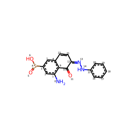 Nc1cc(S(=O)O)cc2c1C(=O)/C(=N\Nc1ccccc1)C=C2